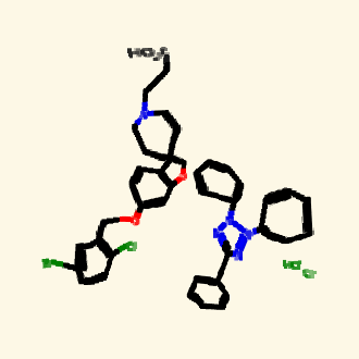 Cl.O=C(O)CCN1CCC2(CC1)COc1cc(OCc3cc(Br)ccc3Cl)ccc12.[Cl-].c1ccc(-c2nn(-c3ccccc3)[n+](-c3ccccc3)n2)cc1